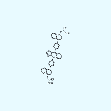 CCCCC(CC)Cc1ccc(-c2ccc(-c3c4ccccc4c(-c4ccc(-c5ccc(CC(CC)CCCC)c6ccccc56)cc4)c4nsnc34)cc2)c2ccccc12